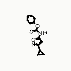 O=C(Nc1cc(C2CC2)no1)Oc1ccccc1